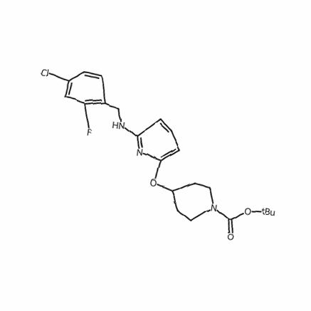 CC(C)(C)OC(=O)N1CCC(Oc2cccc(NCc3ccc(Cl)cc3F)n2)CC1